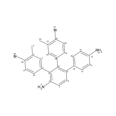 Cc1cc(-c2c(N)ccc(-c3ccc(N)cc3)c2-c2ccc(Br)c(C)c2)ccc1Br